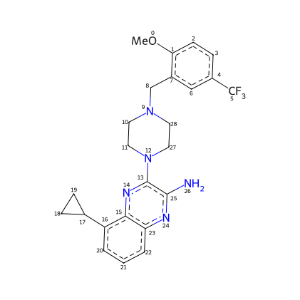 COc1ccc(C(F)(F)F)cc1CN1CCN(c2nc3c(C4CC4)cccc3nc2N)CC1